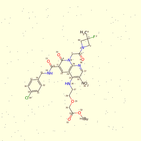 CC1(F)CN(C(=O)Cn2c(=O)c(C(=O)NCc3ccc(Cl)cc3)cc3c(NCCOCC(=O)OC(C)(C)C)c([N+](=O)[O-])cnc32)C1